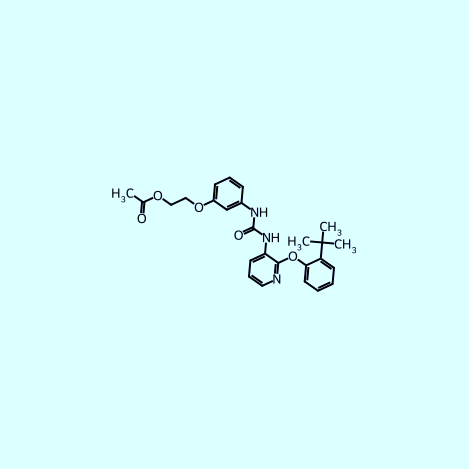 CC(=O)OCCOc1cccc(NC(=O)Nc2cccnc2Oc2ccccc2C(C)(C)C)c1